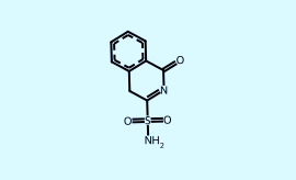 NS(=O)(=O)C1=NC(=O)c2ccccc2C1